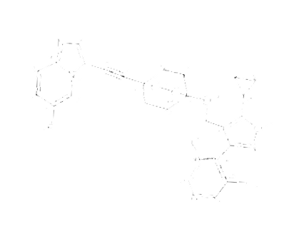 Fc1ccc2ncc(C#CC34CCC(OCc5c(-c6c(Cl)cncc6Cl)noc5C5CC5)(CC3)CC4)n2c1